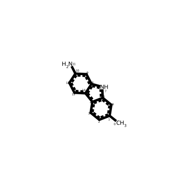 Cc1ccc2c(c1)[nH]c1cc(N)ccc12